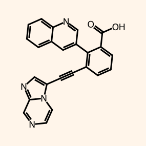 O=C(O)c1cccc(C#Cc2cnc3cnccn23)c1-c1cnc2ccccc2c1